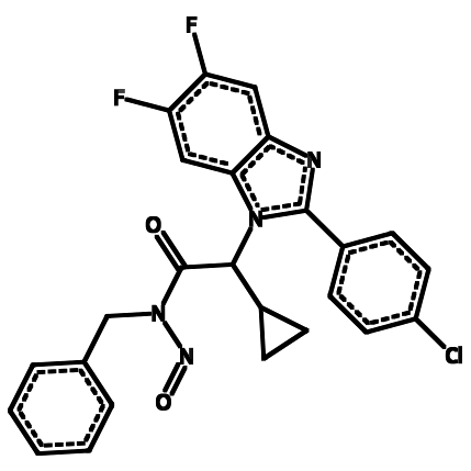 O=NN(Cc1ccccc1)C(=O)C(C1CC1)n1c(-c2ccc(Cl)cc2)nc2cc(F)c(F)cc21